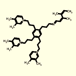 C\C=C(C)/C(C)=C\C=N\CCCc1cc(CCC[n+]2ccc(C)c(C)c2)c(CCC[n+]2ccc(C)c(C)c2)cc1CCC[n+]1ccc(C)c(C)c1